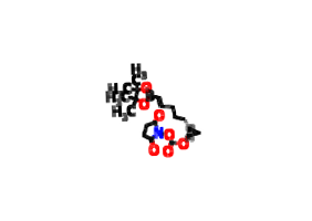 CC1(C)OB(C=CCCC[C@@H]2C[C@H]2OC(=O)ON2C(=O)CCC2=O)OC1(C)C